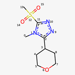 Cn1c(C2CCOCC2)nnc1S(C)(=O)=O